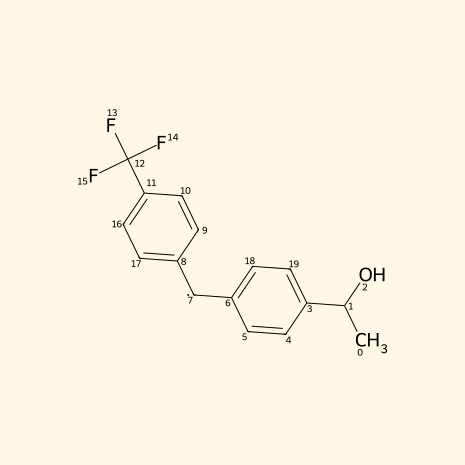 CC(O)c1ccc([CH]c2ccc(C(F)(F)F)cc2)cc1